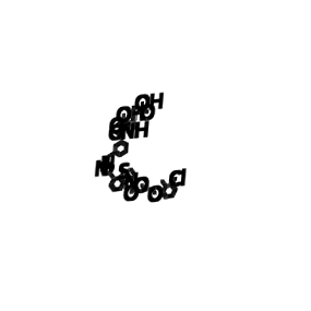 Cc1c(Cl)cccc1OCCOC(=O)N1CCSc2c(-c3cnn(Cc4cccc(C(=O)N[C@@H](CCC(=O)O)C(=O)O)c4)c3)cccc21